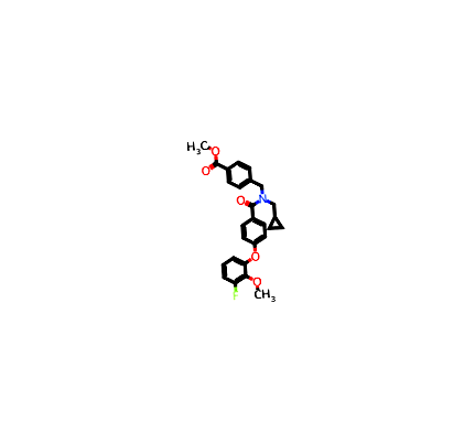 COC(=O)c1ccc(CN(CC2CC2)C(=O)c2ccc(Oc3cccc(F)c3OC)cc2)cc1